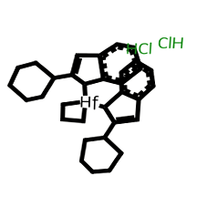 C1=C(C2CCCCC2)[CH]([Hf]2([CH]3C(C4CCCCC4)=Cc4ccccc43)[CH2]C[CH2]2)c2ccccc21.Cl.Cl